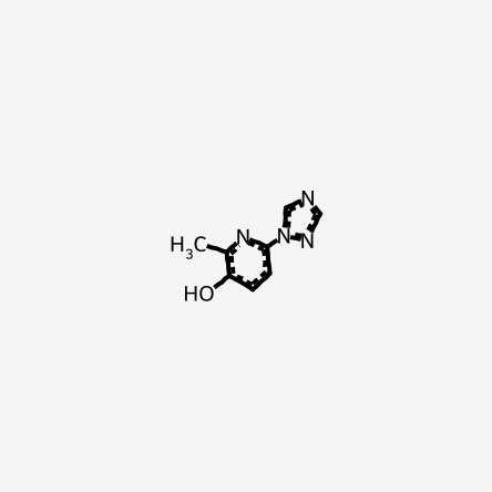 Cc1nc(-n2cncn2)ccc1O